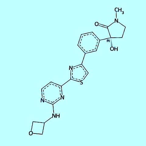 CN1CC[C@@](O)(c2cccc(-c3csc(-c4ccnc(NC5COC5)n4)n3)c2)C1=O